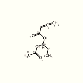 C=C=CC(=O)O[SiH](CC)OC(C)=O